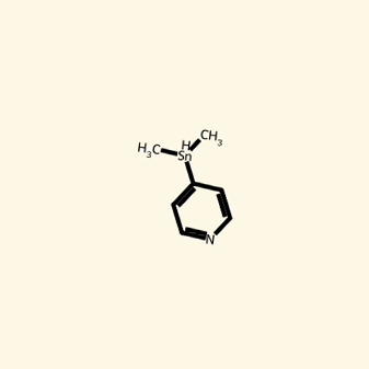 [CH3][SnH]([CH3])[c]1ccncc1